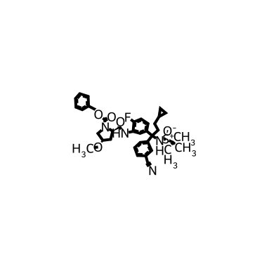 CO[C@@H]1C[C@H](C(=O)Nc2cc(C(CCC3CC3)(N[S@+]([O-])C(C)(C)C)c3cccc(C#N)c3)ccc2F)N(C(=O)OCc2ccccc2)C1